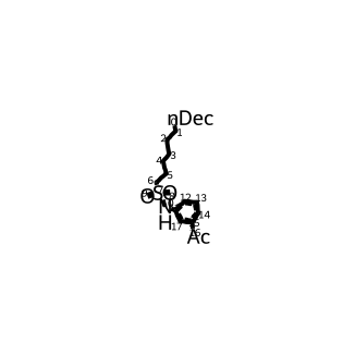 CCCCCCCCCCCCCCCCS(=O)(=O)Nc1cccc(C(C)=O)c1